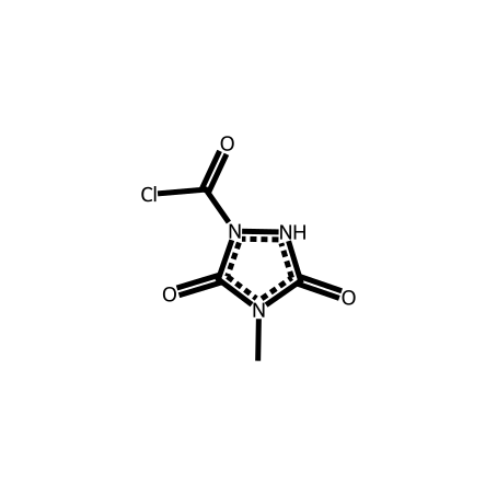 Cn1c(=O)[nH]n(C(=O)Cl)c1=O